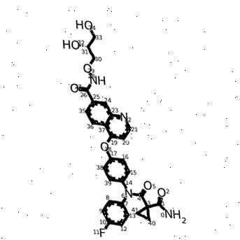 NC(=O)C1(C(=O)N(c2ccc(F)cc2)c2ccc(Oc3ccnc4cc(C(=O)NOC[C@H](O)CO)ccc34)cc2)CC1